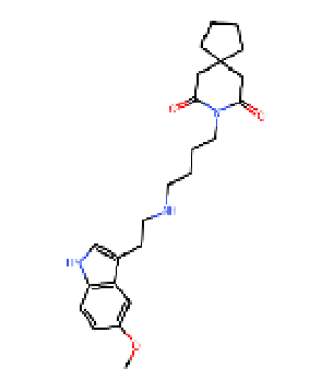 COc1ccc2[nH]cc(CCNCCCCN3C(=O)CC4(CCCC4)CC3=O)c2c1